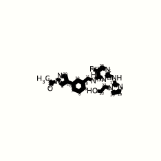 CC(=O)n1cc(-c2cccc(CNc3nc(Nc4nccn4CCO)ncc3F)c2)cn1